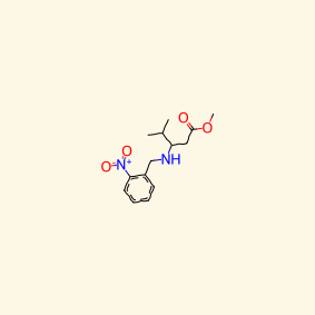 COC(=O)CC(NCc1ccccc1[N+](=O)[O-])C(C)C